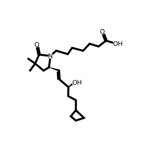 CC1(C)C[C@H](C=C[C@@H](O)CCC2CCC2)N(CCCCCCC(=O)O)C1=O